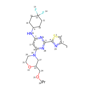 Cc1csc(-c2nc(NC3CCC(F)(F)CC3)cc(N3CCOC(COC(C)C)C3)n2)n1